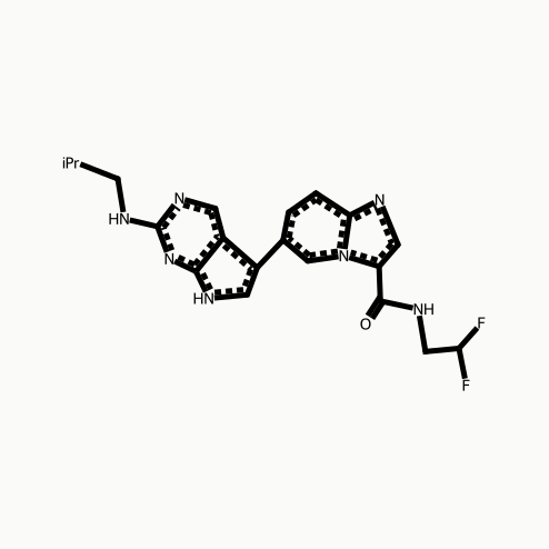 CC(C)CNc1ncc2c(-c3ccc4ncc(C(=O)NCC(F)F)n4c3)c[nH]c2n1